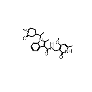 COc1cc(C)[nH]c(=O)c1CNC(=O)c1c(C)n(C(C)C2CCN(C)C(=O)C2)c2ccccc12